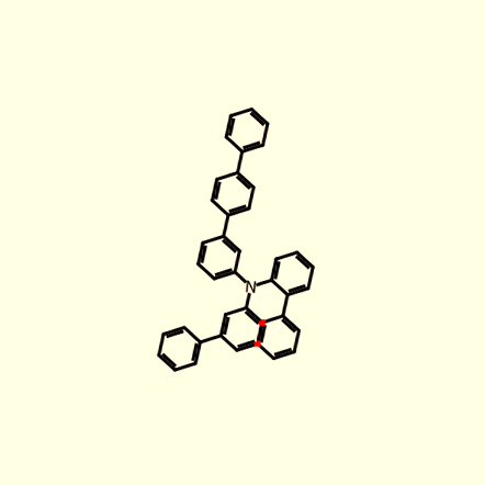 c1ccc(-c2ccc(-c3cccc(N(c4cccc(-c5ccccc5)c4)c4ccccc4-c4ccccc4)c3)cc2)cc1